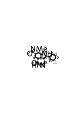 CNC(=O)c1cc2c3c(c(-c4ccccc4)[nH]c3c1)C=NNC2=O